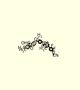 Cc1cc(NC(=O)c2ncc(-c3ccc(OCC#N)c(F)c3F)n2C)ccc1C(=O)N1CCN(C(=O)C2(OC=O)CC[N+](C)(C)CC2)CC1